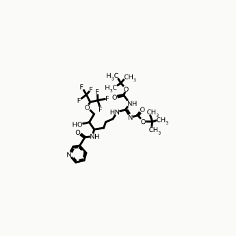 CC(C)(C)OC(=O)N=C(NCCCC(NC(=O)c1cccnc1)C(O)COC(C(F)(F)F)C(F)(F)F)NC(=O)OC(C)(C)C